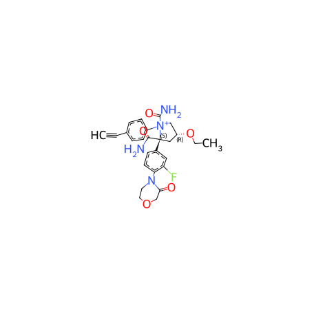 C#Cc1ccc([N+]2(C(N)=O)C[C@H](OCC)C[C@@]2(C(N)=O)c2ccc(N3CCOCC3=O)c(F)c2)cc1